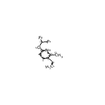 C=Cc1ccc(OC(F)F)nc1C